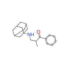 CC(CNC12CC3CC(CC(C3)C1)C2)C(=O)c1ccccc1